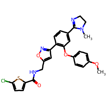 COc1ccc(Oc2cc(C3=NCCN3C)ccc2-c2cc(CNC(=O)c3ccc(Cl)s3)on2)cc1